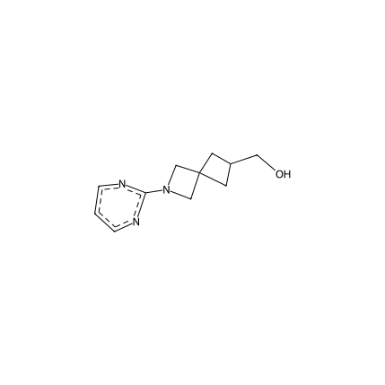 OCC1CC2(C1)CN(c1ncccn1)C2